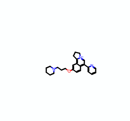 c1ccc(-c2c[n+]3c(c4cc(OCCCN5CCCCC5)ccc24)CCC3)nc1